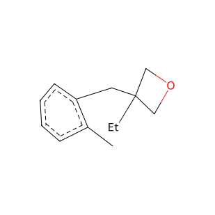 CCC1(Cc2ccccc2C)COC1